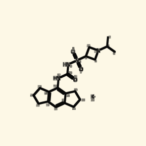 CC(C)N1CC(S(=O)(=O)NC(=O)Nc2c3c(cc4c2CCC4)CCC3)C1.[K]